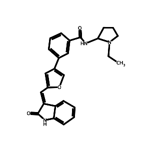 CCN1CCCC1NC(=O)c1cccc(-c2coc(/C=C3/C(=O)Nc4ccccc43)c2)c1